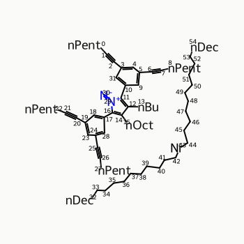 CCCCCC#Cc1cc(C#CCCCCC)cc(C2=C(CCCC)C(CCCCCCCC)=C(c3cc(C#CCCCCC)cc(C#CCCCCC)c3)[N+]2=[N-])c1.CCCCCCCCCCCCCCCCCCC[CH2][Ni][CH2]CCCCCCCCCCCCCCCCCCC